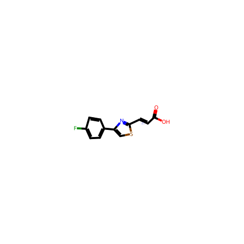 O=C(O)/C=C/c1nc(-c2ccc(F)cc2)cs1